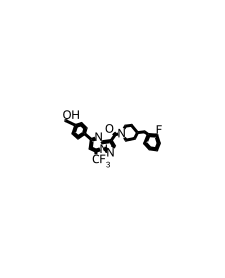 O=C(c1cnn2c(C(F)(F)F)cc(-c3ccc(CO)cc3)nc12)N1CCC(Cc2ccccc2F)CC1